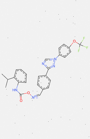 CC(C)c1ccccc1NC(=O)O/N=C\c1ccc(-c2ncn(-c3ccc(OC(F)(F)F)cc3)n2)cc1